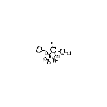 COC(=O)c1c(OCc2ccccc2)c2cc(F)cc(-c3ccc(Cl)cc3)c2c2ncnn12